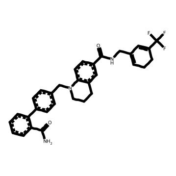 NC(=O)c1ccccc1-c1ccc(CN2CCCc3cc(C(=O)NCC4=CCCC(C(F)(F)F)=C4)ccc32)cc1